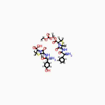 CC1(C)S[C@@H]2[C@H](NC(=O)[C@H](N)c3ccc(O)cc3)C(=O)N2[C@H]1C(=O)O.CCOC(=O)OC(C)OC(=O)[C@@H]1N2C(=O)[C@@H](NC(=O)[C@H](N)c3ccccc3)[C@H]2SC1(C)C